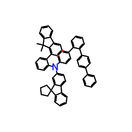 CC1(C)c2ccccc2-c2cccc(-c3ccccc3N(c3ccc(-c4ccccc4-c4ccc(-c5ccccc5)cc4)cc3)c3ccc4c(c3)C3(CCCC3)c3ccccc3-4)c21